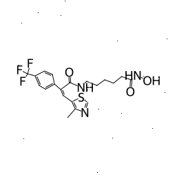 Cc1ncsc1/C=C(\C(=O)NCCCCCC(=O)NO)c1ccc(C(F)(F)F)cc1